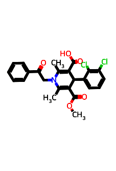 COC(=O)C1=C(C)N(CC(=O)c2ccccc2)C(C)=C(C(=O)O)C1c1cccc(Cl)c1Cl